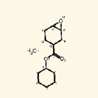 O.O=C(OC1CCCCC1)C1CCC2OC2C1